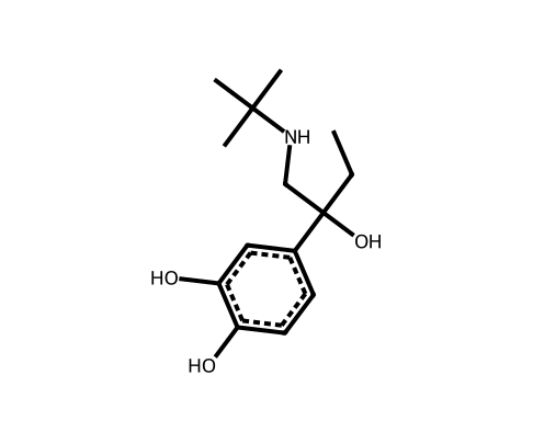 CCC(O)(CNC(C)(C)C)c1ccc(O)c(O)c1